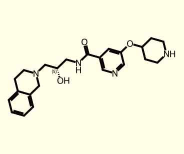 O=C(NC[C@H](O)CN1CCc2ccccc2C1)c1cncc(OC2CCNCC2)c1